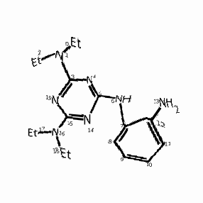 CCN(CC)c1nc(Nc2ccccc2N)nc(N(CC)CC)n1